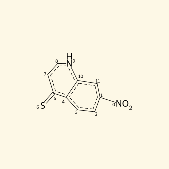 O=[N+]([O-])c1ccc2c(=S)cc[nH]c2c1